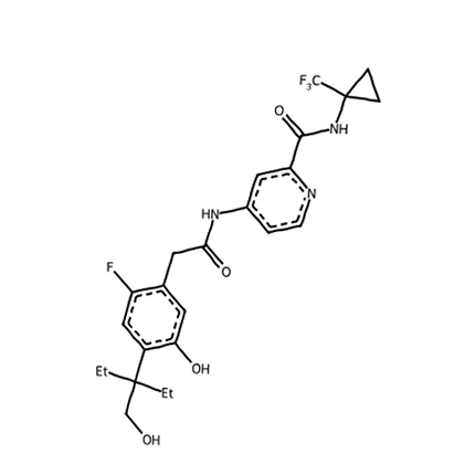 CCC(CC)(CO)c1cc(F)c(CC(=O)Nc2ccnc(C(=O)NC3(C(F)(F)F)CC3)c2)cc1O